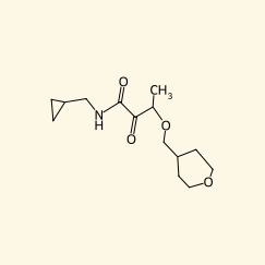 CC(OCC1CCOCC1)C(=O)C(=O)NCC1CC1